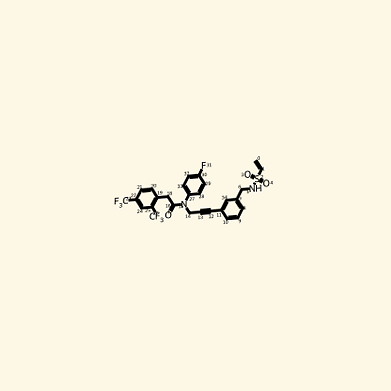 C=CS(=O)(=O)NCc1cccc(C#CCN(C(=O)Cc2ccc(C(F)(F)F)cc2C(F)(F)F)c2ccc(F)cc2)c1